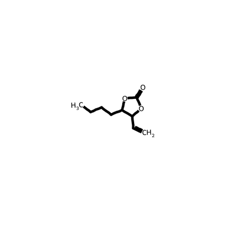 C=CC1OC(=O)OC1CCCC